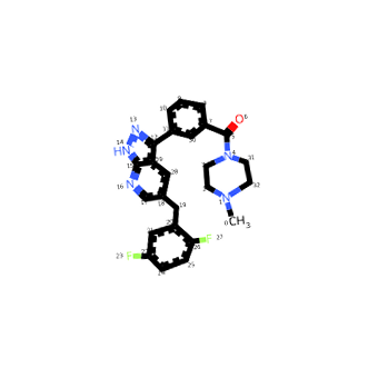 CN1CCN(C(=O)c2cccc(-c3n[nH]c4ncc(Cc5cc(F)ccc5F)cc34)c2)CC1